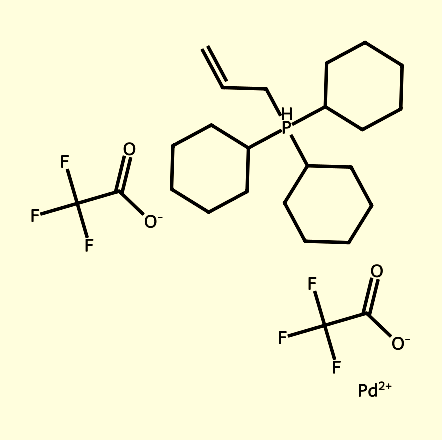 C=CC[PH](C1CCCCC1)(C1CCCCC1)C1CCCCC1.O=C([O-])C(F)(F)F.O=C([O-])C(F)(F)F.[Pd+2]